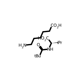 CC(C)[C@H](NC(=O)C(C)(C)C)C(=O)O.NCCCCCC(=O)O